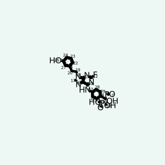 O=PC(O)(c1ccc(Nc2nc(F)nc3c2ncn3CCc2cccc(O)c2)cc1)P(=O)(O)O